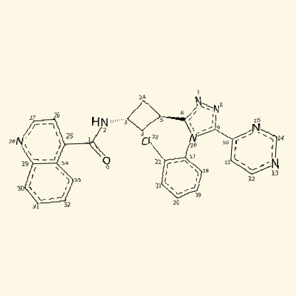 O=C(N[C@H]1C[C@H](c2nnc(-c3ccncn3)n2-c2ccccc2Cl)C1)c1ccnc2ccccc12